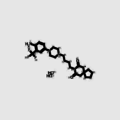 Cl.Cl.Nc1ccc(N2CCN(CCCCN3C(=O)CC4(CCCC4)CC3=O)CC2)cc1C(F)(F)F